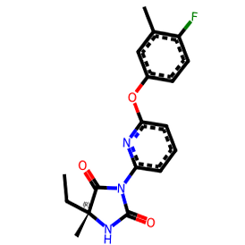 CC[C@@]1(C)NC(=O)N(c2cccc(Oc3ccc(F)c(C)c3)n2)C1=O